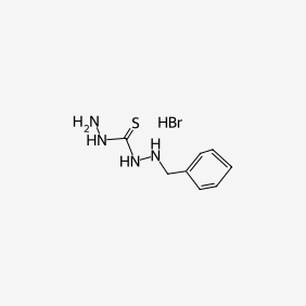 Br.NNC(=S)NNCc1ccccc1